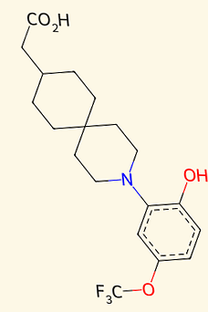 O=C(O)CC1CCC2(CC1)CCN(c1cc(OC(F)(F)F)ccc1O)CC2